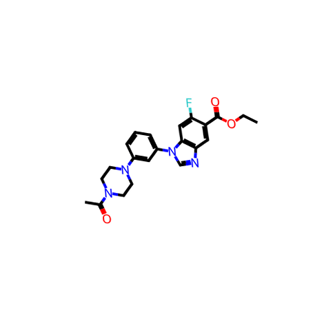 CCOC(=O)c1cc2ncn(-c3cccc(N4CCN(C(C)=O)CC4)c3)c2cc1F